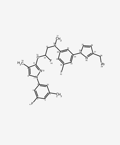 Cc1cc(F)cc(-n2cc(C)c(OC(F)CN(C)c3cc(F)cc(-n4ccc(CC(C)C)n4)c3)n2)c1